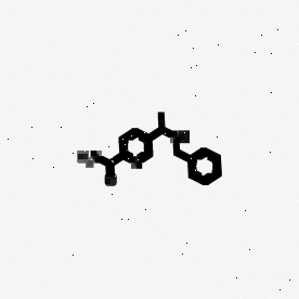 CC(NCc1ccccc1)c1ccc(C(N)=O)nc1